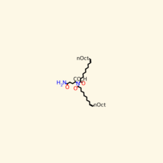 CCCCCCCC/C=C\CCCCCCCC(=O)N(C(=O)CCCCCCC/C=C\CCCCCCCC)C(CCC(N)=O)C(=O)O